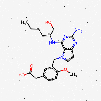 CCCC[C@@H](CO)Nc1nc(N)nc2ccn(Cc3cc(CC(=O)O)ccc3OC)c12